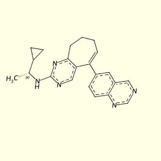 C[C@@H](Nc1ncc2c(n1)CCCC=C2c1ccc2ncncc2c1)C1CC1